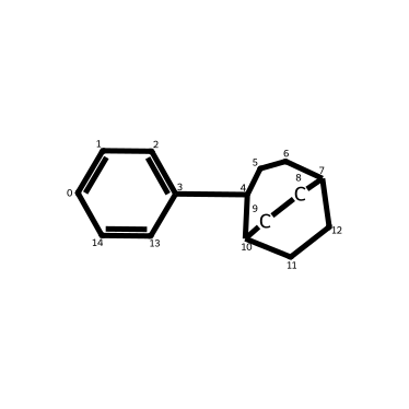 c1ccc(C2CCC3CCC2CC3)cc1